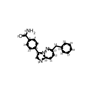 NC(=O)c1ccc(-c2cnc3ccc(Cc4ccccc4)nn23)cc1